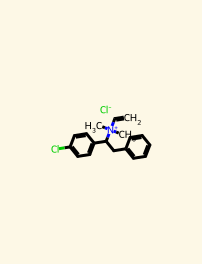 C=C[N+](C)(C)C(Cc1ccccc1)c1ccc(Cl)cc1.[Cl-]